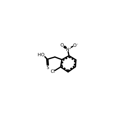 O=[N+]([O-])c1cccc(Cl)c1CC(O)=S